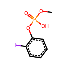 COP(=O)(O)Oc1ccccc1I